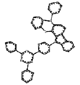 c1ccc(-c2nc(-c3ccccc3)nc(-c3ccc(-n4c5ccccc5c5ccc6c(c54)Oc4ccccc4N6c4ccccc4)cc3)n2)cc1